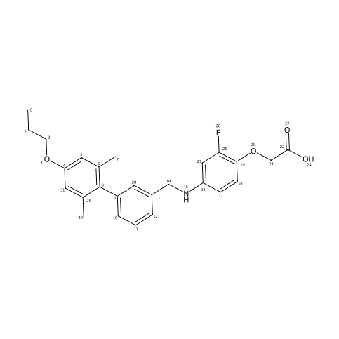 CCCOc1cc(C)c(-c2cccc(CNc3ccc(OCC(=O)O)c(F)c3)c2)c(C)c1